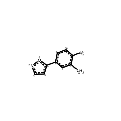 Cc1cc(-c2ccno2)ccc1Br